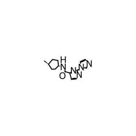 C[C@H]1CC[C@H](NC(=O)c2ccnc(-n3ccnc3)n2)CC1